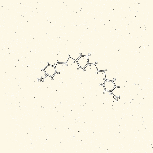 Oc1ccc(C=CCc2ccc(CC=Cc3ccc(O)cc3)cc2)cc1